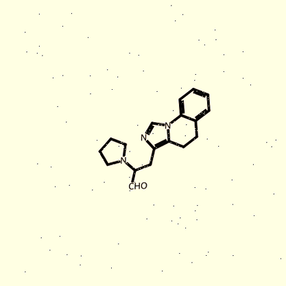 O=CC(Cc1ncn2c1CCc1ccccc1-2)N1CCCC1